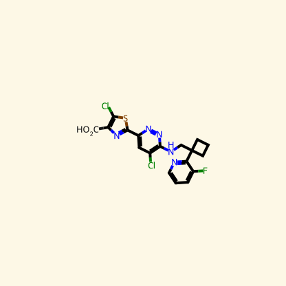 O=C(O)c1nc(-c2cc(Cl)c(NCC3(c4ncccc4F)CCC3)nn2)sc1Cl